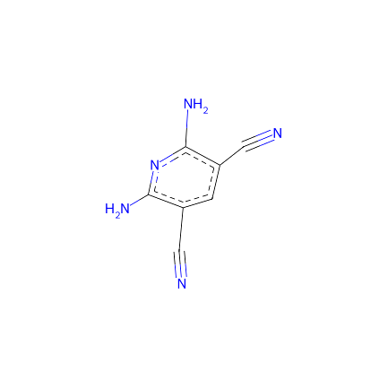 N#Cc1cc(C#N)c(N)nc1N